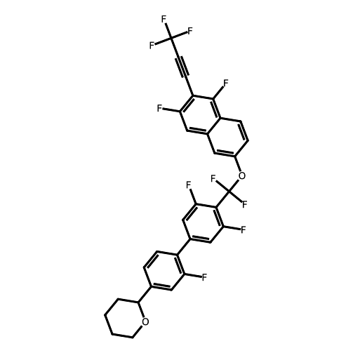 Fc1cc(C2CCCCO2)ccc1-c1cc(F)c(C(F)(F)Oc2ccc3c(F)c(C#CC(F)(F)F)c(F)cc3c2)c(F)c1